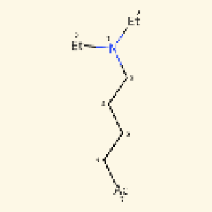 CCN(CC)CCCCC(C)=O